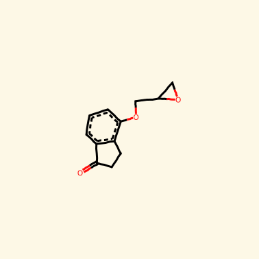 O=C1CCc2c(OCC3CO3)cccc21